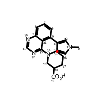 Cn1ccc(-c2cccc3ncnc(N4CCCC(C(=O)O)C4)c23)c1